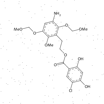 COCOc1cc(N)c(OCOC)c(CCOC(=O)c2cc(Cl)c(O)cc2O)c1OC